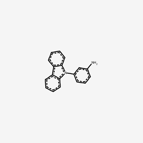 Nc1cccc(-n2c3ccccc3c3ccccc32)c1